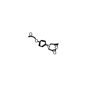 C1=C(CN(CC2CO2)c2ccc(OCC3CO3)cc2)O1